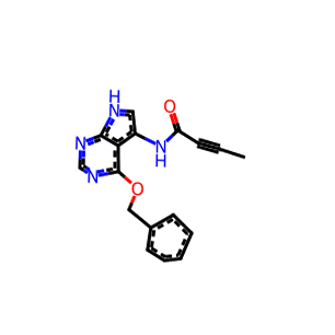 CC#CC(=O)Nc1c[nH]c2ncnc(OCc3ccccc3)c12